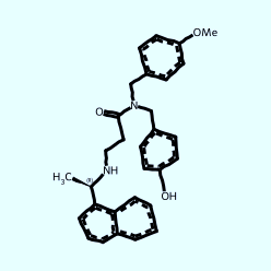 COc1ccc(CN(Cc2ccc(O)cc2)C(=O)CCN[C@H](C)c2cccc3ccccc23)cc1